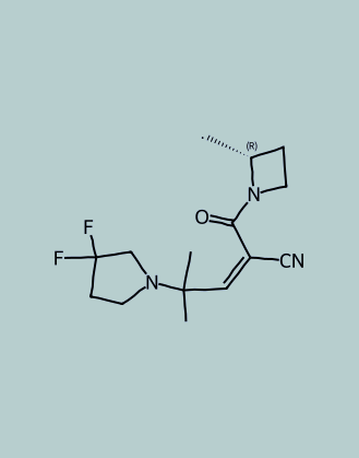 [CH2][C@@H]1CCN1C(=O)C(C#N)=CC(C)(C)N1CCC(F)(F)C1